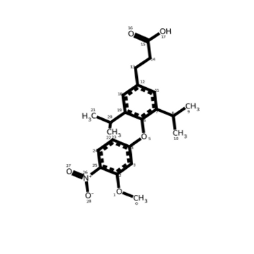 COc1cc(Oc2c(C(C)C)cc(CCC(=O)O)cc2C(C)C)ccc1[N+](=O)[O-]